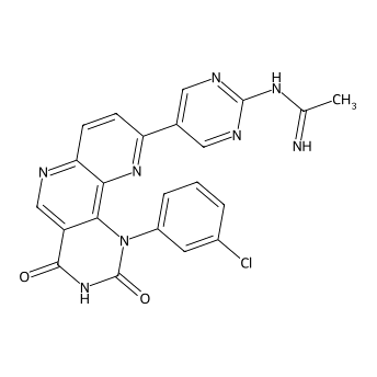 CC(=N)Nc1ncc(-c2ccc3ncc4c(=O)[nH]c(=O)n(-c5cccc(Cl)c5)c4c3n2)cn1